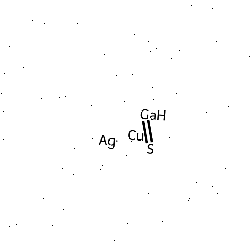 [Ag].[Cu].[S]=[GaH]